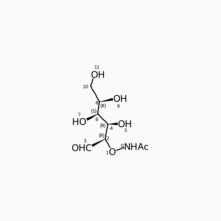 CC(=O)NO[C@@H](C=O)[C@H](O)[C@@H](O)[C@H](O)CO